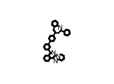 C1=C(c2ccc(-c3cccc(-c4nc5c(nc6ccccn65)c5ccccc45)c3)cc2)CC(c2ccccc2)=Nc2ccccc21